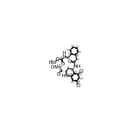 COC(=O)[C@@H]1C[C@@H](NC(=O)Cc2ccccc2CNC(=O)OC(C)(C)C)c2c(Cl)cc(Cl)cc2N1